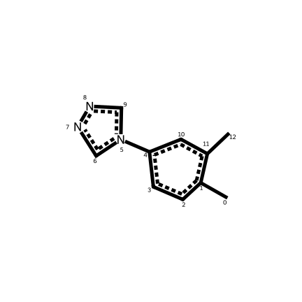 Cc1ccc(-n2cnnc2)cc1C